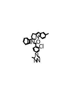 Cc1ccc2c(c1)cc1n2C[C@@](NC(=O)c2ccc(-n3cnnc3C)cc2Cl)(c2ccccc2)CC1